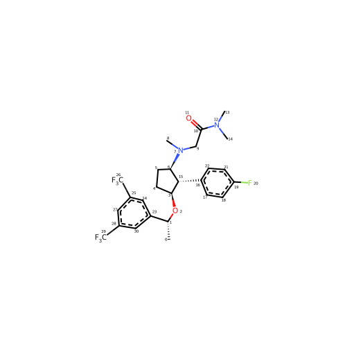 C[C@@H](O[C@H]1CC[C@@H](N(C)CC(=O)N(C)C)[C@@H]1c1ccc(F)cc1)c1cc(C(F)(F)F)cc(C(F)(F)F)c1